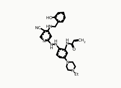 C=CC(=O)Nc1cc(N2CCN(CC)CC2)ccc1NNc1cc(NCc2ccccc2O)c(C#N)cn1